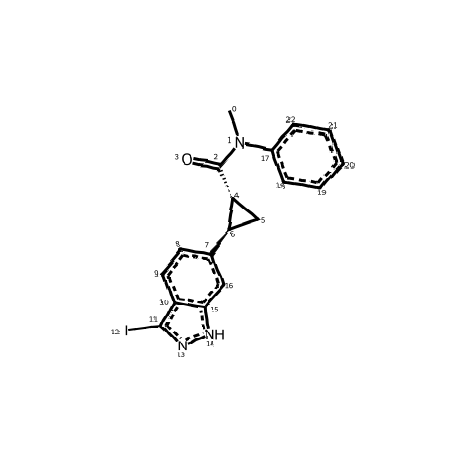 CN(C(=O)[C@@H]1C[C@H]1c1ccc2c(I)n[nH]c2c1)c1ccccc1